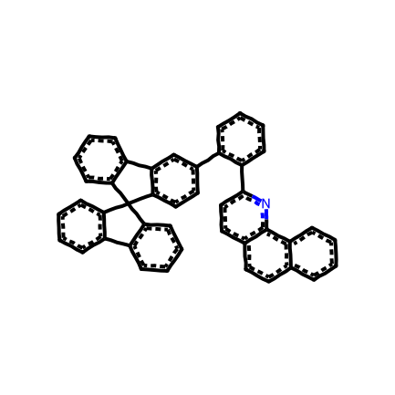 c1ccc(-c2ccc3ccc4ccccc4c3n2)c(-c2ccc3c(c2)-c2ccccc2C32c3ccccc3-c3ccccc32)c1